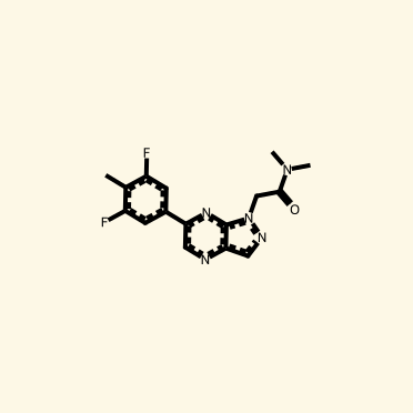 Cc1c(F)cc(-c2cnc3cnn(CC(=O)N(C)C)c3n2)cc1F